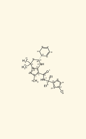 CCC(CC)(NC(=O)c1c(C)nn2c1N[C@@H](C1C=CC=CC1)CC2(C)C)c1ccc(Cl)s1